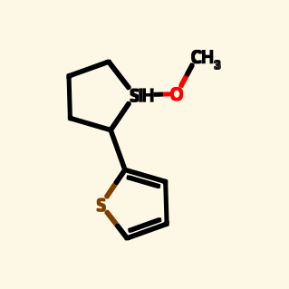 CO[SiH]1CCCC1c1cccs1